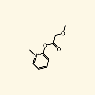 COCC(=O)Oc1cccc[n+]1C